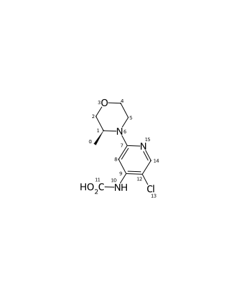 C[C@H]1COCCN1c1cc(NC(=O)O)c(Cl)cn1